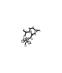 CC(C)N1CCN(C)CC1CNS(C)(=O)=O